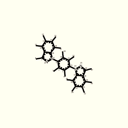 Cc1c(C)c(-n2nc(C)c3c(C)c(C)c(C)c(C)c32)c(C)c(C)c1-n1nc(C)c2c(C)c(C)c(C)c(C)c21